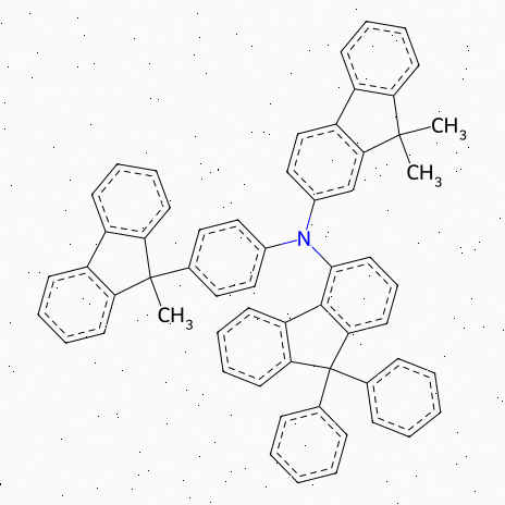 CC1(C)c2ccccc2-c2ccc(N(c3ccc(C4(C)c5ccccc5-c5ccccc54)cc3)c3cccc4c3-c3ccccc3C4(c3ccccc3)c3ccccc3)cc21